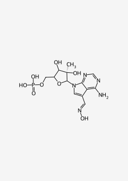 C[C@@]1(O)C(O)C(COP(=O)(O)O)OC1n1cc(/C=N/O)c2c(N)ncnc21